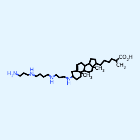 CC(CCCCC1CCC2C3CC=C4CC(NCCCNCCCCNCCCN)CCC4(C)C3CCC12C)C(=O)O